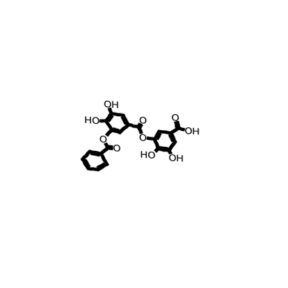 O=C(O)c1cc(O)c(O)c(OC(=O)c2cc(O)c(O)c(OC(=O)c3ccccc3)c2)c1